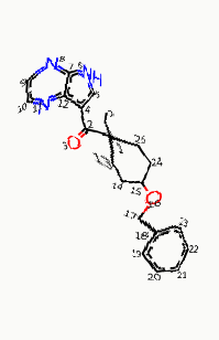 CC1(C(=O)c2c[nH]c3nccnc23)CCC(OCc2ccccc2)CC1